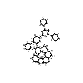 c1ccc(-c2nc(-c3ccccc3)nc(-c3ccc(-c4ccccc4-c4ccc5c(ccc6ccc7ccc8oc9ccccc9c8c7c65)c4)cc3)n2)cc1